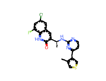 Cc1cscc1-c1ccnc(N[C@@H](C)c2cc3cc(Cl)cc(F)c3[nH]c2=O)n1